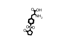 NC(Cc1ccc(S(=O)(=O)C2CCCC2=O)cc1)C(=O)O